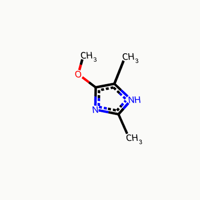 COc1nc(C)[nH]c1C